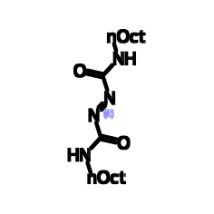 CCCCCCCCNC(=O)/N=N/C(=O)NCCCCCCCC